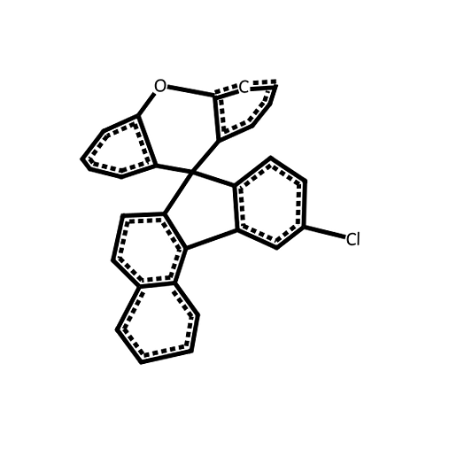 Clc1ccc2c(c1)-c1c(ccc3ccccc13)C21c2ccccc2Oc2ccccc21